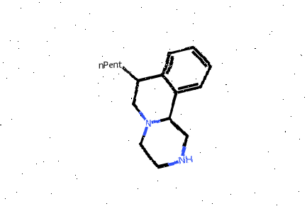 CCCCCC1CN2CCNCC2c2ccccc21